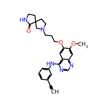 C#Cc1cccc(Nc2ncnc3cc(OC)c(OCCCN4CCC5(CCNC5=O)C4)cc23)c1